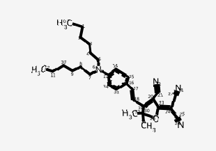 CCCCCCN(CCCCCC)c1ccc(/C=C/C2=C(C#N)C(=C(C#N)C#N)OC2(C)C)cc1